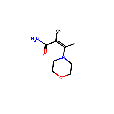 CC(=C(C#N)C(N)=O)N1CCOCC1